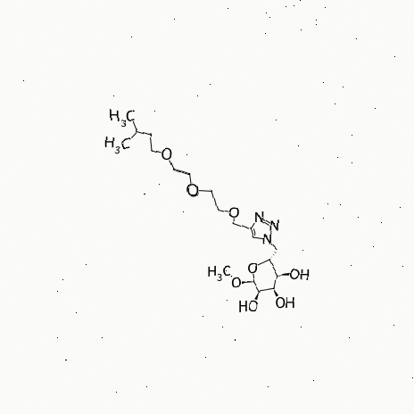 CO[C@H]1O[C@H](Cn2cc(COCCOCCOCCC(C)C)nn2)[C@@H](O)[C@@H](O)[C@H]1O